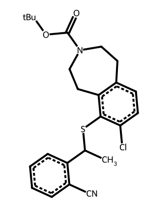 CC(Sc1c(Cl)ccc2c1CCN(C(=O)OC(C)(C)C)CC2)c1ccccc1C#N